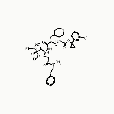 CCOP(=O)(OCC)C(O)[Si@H](CCC(=O)N(C)CCc1ccccc1)NC(=O)[C@H](CC1CCCCC1)SNC(=O)OC1(c2cccc(Cl)c2)CC1